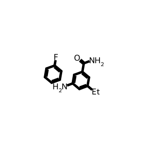 CCc1cc(N)cc(C(N)=O)c1.Fc1ccccc1